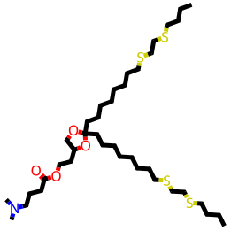 CCCCSCCSCCCCCCCCC1(CCCCCCCCSCCSCCCC)OCC(CCOC(=O)CCCN(C)C)O1